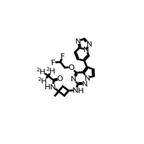 [2H]C([2H])([2H])C(=O)NC1(C)CC(Nc2nc(OCC(F)F)c3c(-c4ccc5ncnn5c4)ccn3n2)C1